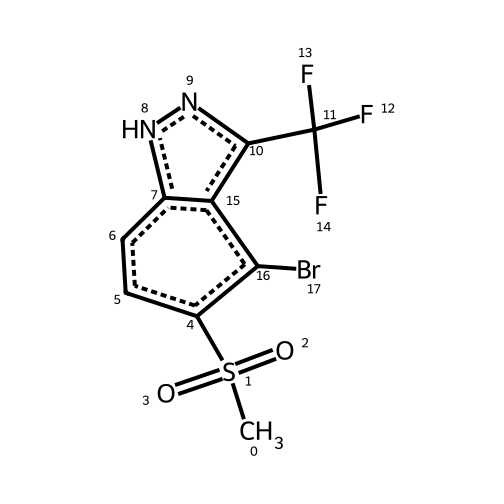 CS(=O)(=O)c1ccc2[nH]nc(C(F)(F)F)c2c1Br